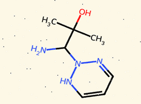 CC(C)(O)C(N)N1N=CC=CN1